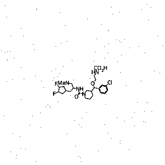 CNCC(CC1CC(F)C(F)C1)NC(=O)N1CCCC(C(OCCNC(=O)O)c2cccc(Cl)c2)C1